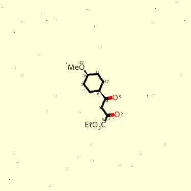 CCOC(=O)C(=O)CC(=O)[C@H]1CC[C@@H](OC)CC1